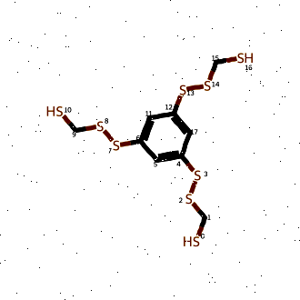 SCSSc1cc(SSCS)cc(SSCS)c1